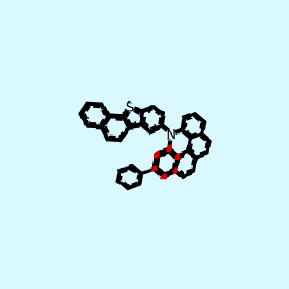 c1ccc(-c2cccc(N(c3ccc4sc5c6ccccc6ccc5c4c3)c3cccc4ccc5ccc6ccccc6c5c34)c2)cc1